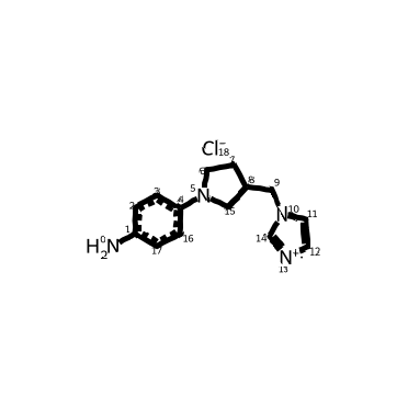 Nc1ccc(N2CCC(CN3C=C[N+]=C3)C2)cc1.[Cl-]